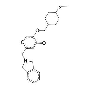 CSC1CCC(COc2coc(CN3Cc4ccccc4C3)cc2=O)CC1